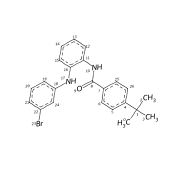 CC(C)(C)c1ccc(C(=O)Nc2ccccc2Nc2cccc(Br)c2)cc1